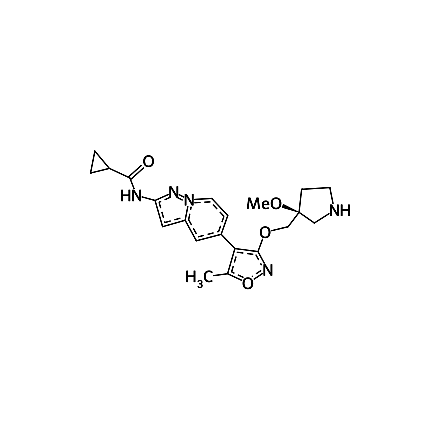 CO[C@@]1(COc2noc(C)c2-c2ccn3nc(NC(=O)C4CC4)cc3c2)CCNC1